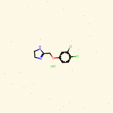 Cl.Clc1ccc(OCC2=NCCN2)cc1Cl